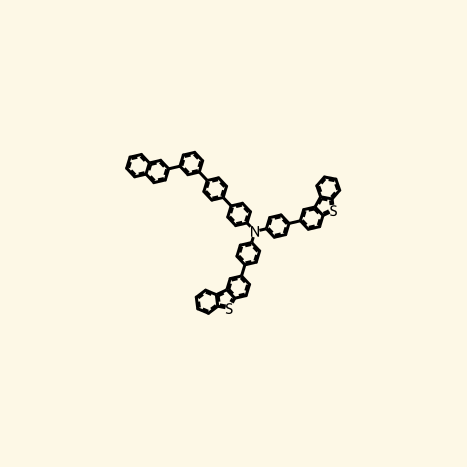 c1cc(-c2ccc(-c3ccc(N(c4ccc(-c5ccc6sc7ccccc7c6c5)cc4)c4ccc(-c5ccc6sc7ccccc7c6c5)cc4)cc3)cc2)cc(-c2ccc3ccccc3c2)c1